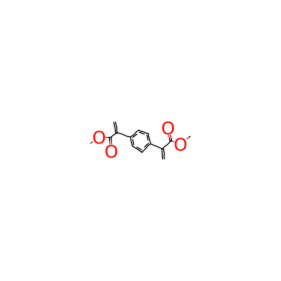 C=C(C(=O)OC)c1ccc(C(=C)C(=O)OC)cc1